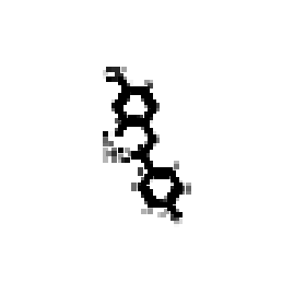 OC(Cc1ccc(Cl)cc1Cl)c1ccc(F)cc1